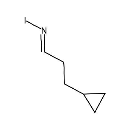 I/N=C/CCC1CC1